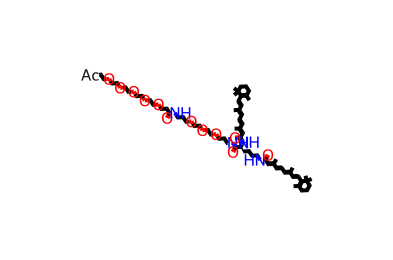 CC(=O)CCOCCOCCOCCOCCOCCC(=O)NCCCOCCOCCOCCCNC(=O)[C@H](CCCCNC(=O)/C=C(C)/C=C/C=C(C)/C=C/C1=C(C)CCCC1(C)C)NC(=O)/C=C(C)/C=C/C=C(C)/C=C/C1=C(C)CCCC1(C)C